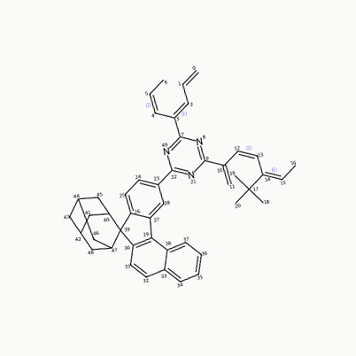 C=C/C=C(\C=C/C)c1nc(C(=C)/C=C\C(=C/C)C(C)(C)C)nc(-c2ccc3c(c2)-c2c(ccc4ccccc24)C32C3CC4CC(C3)CC2C4)n1